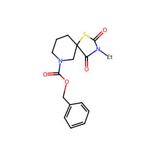 CCN1C(=O)SC2(CCCN(C(=O)OCc3ccccc3)C2)C1=O